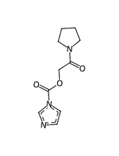 O=C(COC(=O)n1ccnc1)N1CCCC1